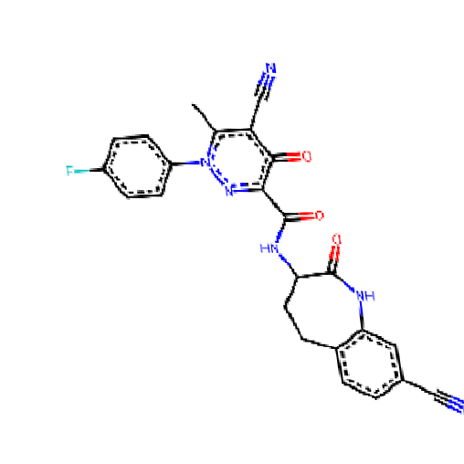 Cc1c(C#N)c(=O)c(C(=O)NC2CCc3ccc(C#N)cc3NC2=O)nn1-c1ccc(F)cc1